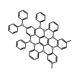 Cc1ccc2c(c1)N1c3ccccc3B3c4c5c6c7c(c41)B2c1ccc(C)cc1N7c1ccccc1B6N(c1ccccc1)c1cc(N(c2ccccc2)c2ccccc2)cc(c1-5)N3c1ccccc1